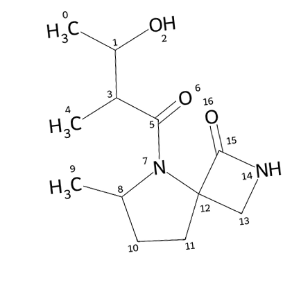 CC(O)C(C)C(=O)N1C(C)CCC12CNC2=O